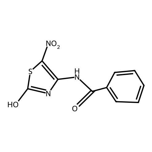 O=C(Nc1nc(O)sc1[N+](=O)[O-])c1ccccc1